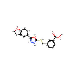 COC(=O)c1cccc(CSc2nnc(-c3ccc4c(c3)CCO4)o2)c1